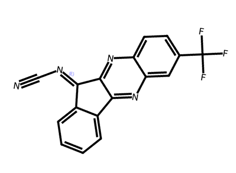 N#C/N=C1\c2ccccc2-c2nc3cc(C(F)(F)F)ccc3nc21